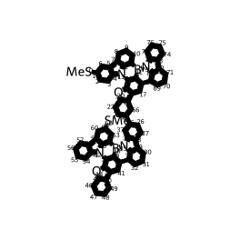 CSc1ccc2c(c1)c1cccc3c1n2-c1c2c(cc4c1oc1ccc(-c5ccc6c7cccc8c7n(c6c5)B5c6c-8cc7c(oc8ccccc87)c6-n6c7ccccc7c7cc(SC)cc5c76)cc14)-c1cccc4c5ccccc5n(c14)B23